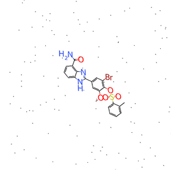 COc1cc(-c2nc3c(C(N)=O)cccc3[nH]2)cc(Br)c1OS(=O)(=O)c1ccccc1C